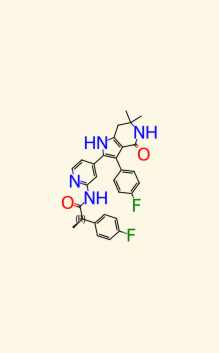 C[C@@H](C(=O)Nc1cc(-c2[nH]c3c(c2-c2ccc(F)cc2)C(=O)NC(C)(C)C3)ccn1)c1ccc(F)cc1